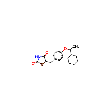 CC(Oc1ccc(CC2SC(=O)NC2=O)cc1)C1CCCCC1